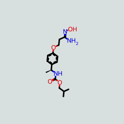 CC(C)COC(=O)N[C@@H](C)c1ccc(OCC/C(N)=N/O)cc1